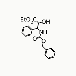 CCOC(=O)C(O)C(NC(=O)OCc1ccccc1)c1ccccc1